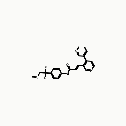 C/C=C(\C=N/C)c1ccncc1/C=C/C(=O)Nc1ccc(C(F)(F)COC)cc1